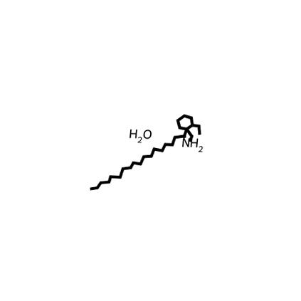 CCCCCCCCCCCCCCCCCC(N)C1(CC)CCCCC1CC.O